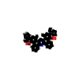 CC[Si](CC)(CC)c1cc(C)cc(-c2ccccc2-c2cccc(-c3ccccc3-c3cc(C)cc([Si](CC)(CC)CC)c3O)n2)c1O